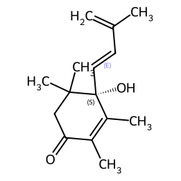 C=C(C)/C=C/[C@@]1(O)C(C)=C(C)C(=O)CC1(C)C